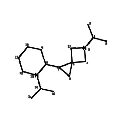 CC(C)N1CC2(CC2C2CCCCN2C(C)C)C1